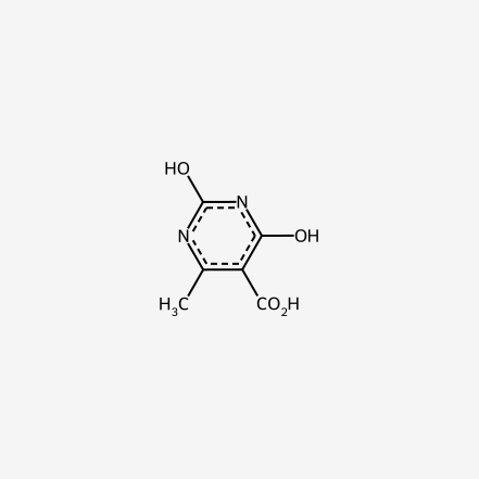 Cc1nc(O)nc(O)c1C(=O)O